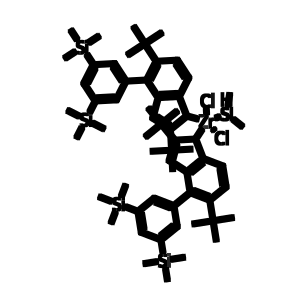 C[SiH](C)[Zr]([Cl])([Cl])([CH]1C(C(C)(C)C)=Cc2c1ccc(C(C)(C)C)c2-c1cc([Si](C)(C)C)cc([Si](C)(C)C)c1)[CH]1C(C(C)(C)C)=Cc2c1ccc(C(C)(C)C)c2-c1cc([Si](C)(C)C)cc([Si](C)(C)C)c1